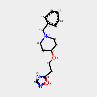 [c]1noc(CCOC2CCN(Cc3ccccc3)CC2)n1